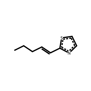 CCC/C=C/c1nccs1